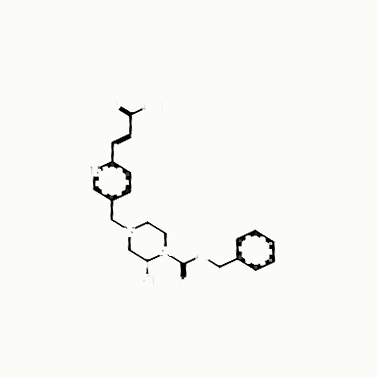 C[C@H]1CN(Cc2ccc(C=CC(=O)O)nc2)CCN1C(=O)OCc1ccccc1